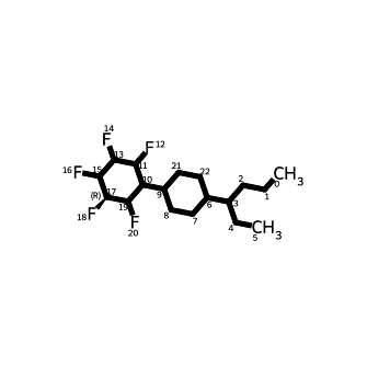 CCCC(CC)C1CCC(C2C(F)C(F)C(F)[C@H](F)C2F)CC1